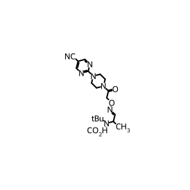 CC(C=NOCC(=O)N1CCN(c2ncc(C#N)cn2)CC1)N(C(=O)O)C(C)(C)C